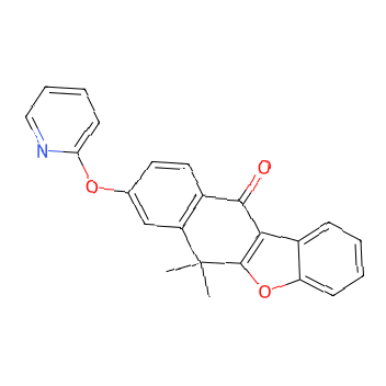 CC1(C)c2cc(Oc3ccccn3)ccc2C(=O)c2c1oc1ccccc21